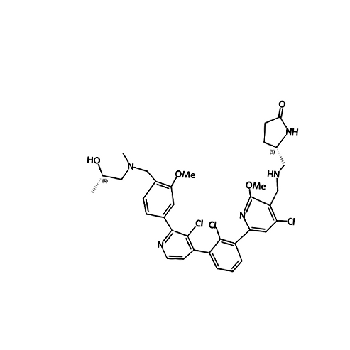 COc1cc(-c2nccc(-c3cccc(-c4cc(Cl)c(CNC[C@@H]5CCC(=O)N5)c(OC)n4)c3Cl)c2Cl)ccc1CN(C)C[C@H](C)O